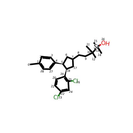 Cc1ccc([C@H]2CC(CCC(C)(C)[Si](C)(C)O)C[C@H]2c2ccc(Cl)cc2Cl)cc1